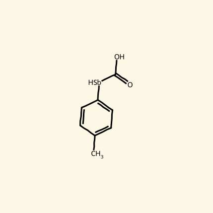 Cc1cc[c]([SbH][C](=O)O)cc1